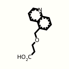 O=C(O)CCOCc1cccc2ncccc12